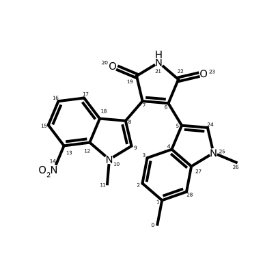 Cc1ccc2c(C3=C(c4cn(C)c5c([N+](=O)[O-])cccc45)C(=O)NC3=O)cn(C)c2c1